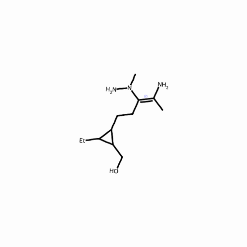 CCC1C(CO)C1CC/C(=C(\C)N)N(C)N